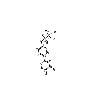 Cc1ccc(-c2ccc(CC(C)(C)C(F)(F)F)cc2)cc1C